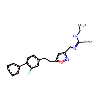 CNC(=NCc1cc(CCc2ccc(-c3ccccc3)c(F)c2)on1)NCC(=O)O